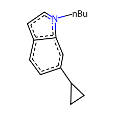 CCCCn1ccc2ccc(C3CC3)cc21